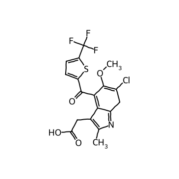 COC1=C(Cl)CC2=NC(C)=C(CC(=O)O)C2=C1C(=O)c1ccc(C(F)(F)F)s1